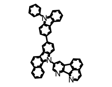 c1ccc(-n2c3ccccc3c3cc(-c4ccc5c(c4)c4ccc6ccccc6c4n5-c4cnc5c(c4)-c4cccc6ccnc-5c46)ccc32)cc1